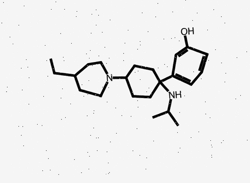 CCC1CCN(C2CCC(NC(C)C)(c3cccc(O)c3)CC2)CC1